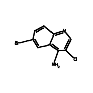 Nc1c(Cl)cnc2ccc(Br)cc12